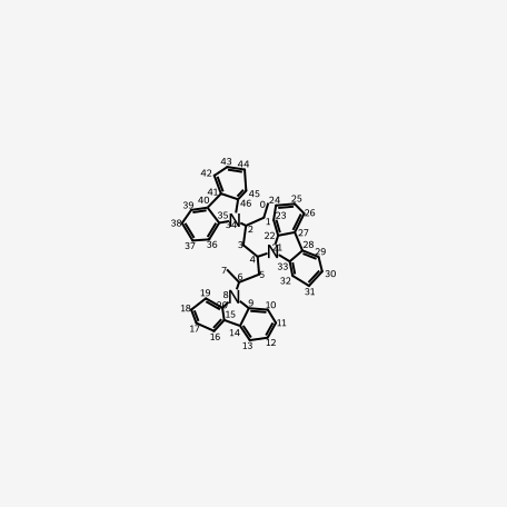 CCC(CC(CC(C)n1c2ccccc2c2ccccc21)n1c2ccccc2c2ccccc21)n1c2ccccc2c2ccccc21